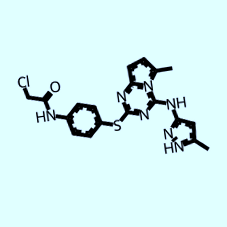 Cc1cc(Nc2nc(Sc3ccc(NC(=O)CCl)cc3)nc3ccc(C)n23)n[nH]1